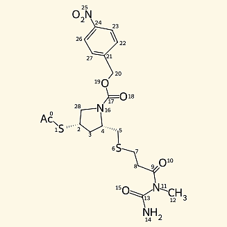 CC(=O)S[C@H]1C[C@@H](CSCCC(=O)N(C)C(N)=O)N(C(=O)OCc2ccc([N+](=O)[O-])cc2)C1